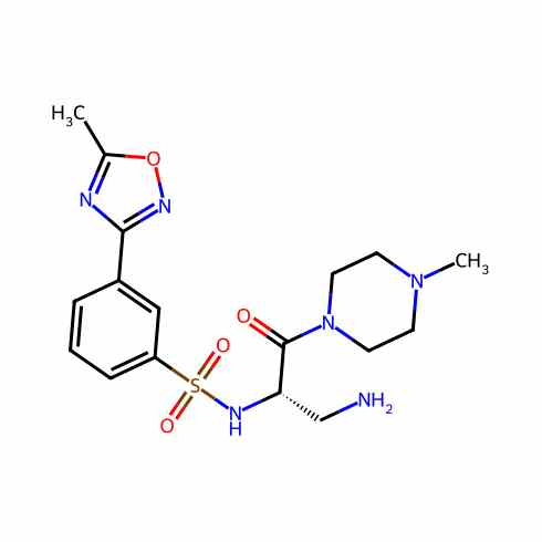 Cc1nc(-c2cccc(S(=O)(=O)N[C@@H](CN)C(=O)N3CCN(C)CC3)c2)no1